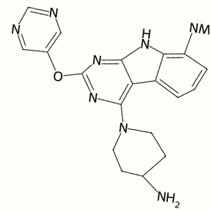 CNc1cccc2c1[nH]c1nc(Oc3cncnc3)nc(N3CCC(N)CC3)c12